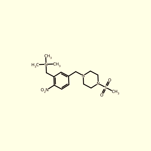 C[Si](C)(C)Cc1cc(CN2CCN(S(C)(=O)=O)CC2)ccc1[N+](=O)[O-]